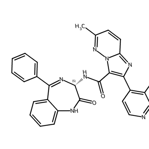 Cc1ccc2nc(-c3ccncc3F)c(C(=O)N[C@H]3N=C(c4ccccc4)c4ccccc4NC3=O)n2n1